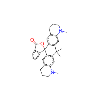 CN1CCCc2cc3c(cc21)C(C)(C)c1cc2c(cc1C31OC(=O)c3ccccc31)CCCN2C